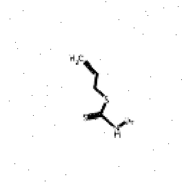 C=CCSC(=S)NC(C)C